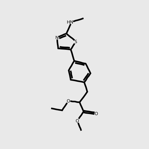 CCOC(Cc1ccc(-c2cnc(NC)s2)cc1)C(=O)OC